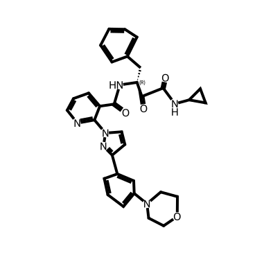 O=C(NC1CC1)C(=O)[C@@H](Cc1ccccc1)NC(=O)c1cccnc1-n1ccc(-c2cccc(N3CCOCC3)c2)n1